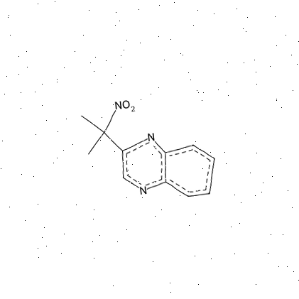 CC(C)(c1cnc2ccccc2n1)[N+](=O)[O-]